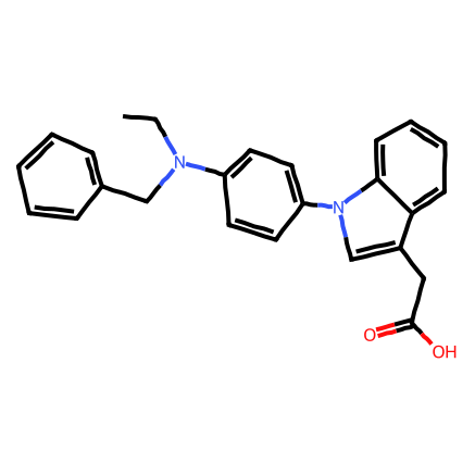 CCN(Cc1ccccc1)c1ccc(-n2cc(CC(=O)O)c3ccccc32)cc1